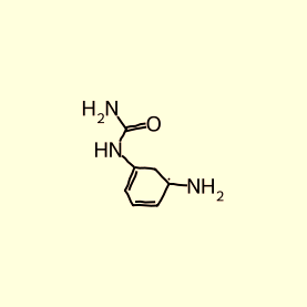 N[C]1C=CC=C(NC(N)=O)C1